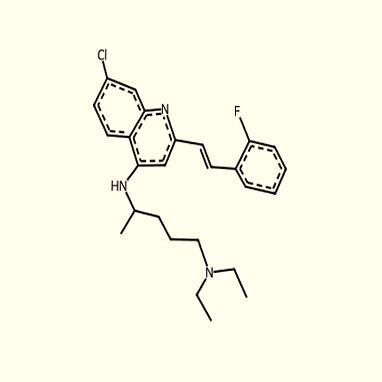 CCN(CC)CCCC(C)Nc1cc(/C=C/c2ccccc2F)nc2cc(Cl)ccc12